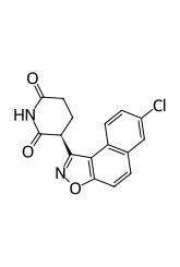 O=C1CC[C@@H](c2noc3ccc4cc(Cl)ccc4c23)C(=O)N1